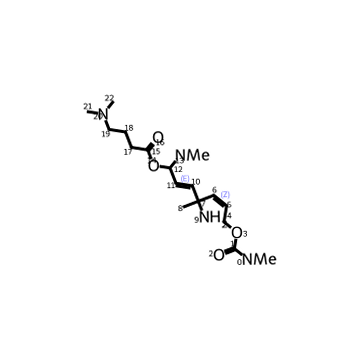 CNC(=O)OC/C=C\C(C)(N)/C=C/C(NC)OC(=O)CCCN(C)C